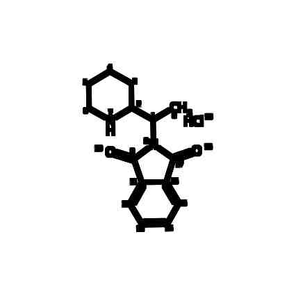 CC(C1CCCCN1)N1C(=O)c2ccccc2C1=O.Cl